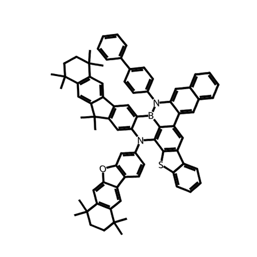 CC1(C)CCC(C)(C)c2cc3c(cc21)-c1cc2c(cc1C3(C)C)N(c1ccc3c(c1)oc1cc4c(cc13)C(C)(C)CCC4(C)C)c1c3c(cc4c1sc1ccccc14)-c1cc4ccccc4cc1N(c1ccc(-c4ccccc4)cc1)B23